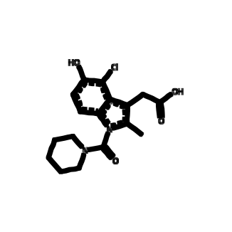 Cc1c(CC(=O)O)c2c(Cl)c(O)ccc2n1C(=O)N1CCCCC1